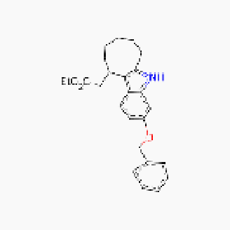 CCOC(=O)CC1CCCCCc2[nH]c3cc(OCc4ccccc4)ccc3c21